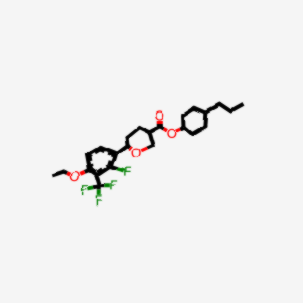 CCCC1CCC(OC(=O)C2CCC(c3ccc(OCC)c(C(F)(F)F)c3F)OC2)CC1